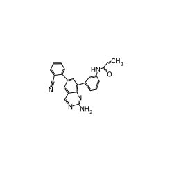 C=CC(=O)Nc1cccc(-c2cc(-c3cc#ccc3C#N)cc3cnc(N)nc23)c1